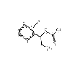 CCC(NC(C)=O)c1cccnc1I